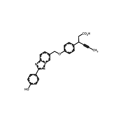 CC#CC(CC(=O)O)c1ccc(OCc2ccc3nc(-c4ccc(O)cc4)nn3c2)cc1